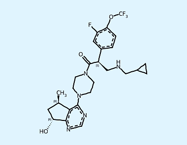 C[C@@H]1C[C@@H](O)c2ncnc(N3CCN(C(=O)[C@H](CNCC4CC4)c4ccc(OC(F)(F)F)c(F)c4)CC3)c21